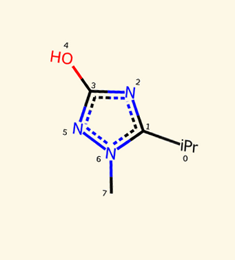 CC(C)c1nc(O)nn1C